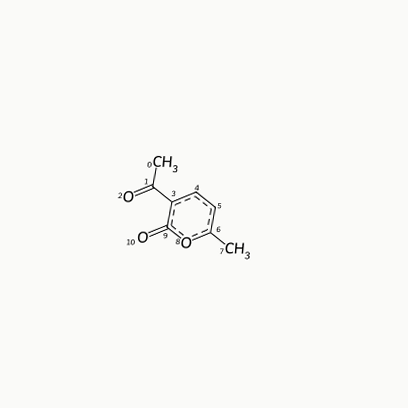 CC(=O)c1ccc(C)oc1=O